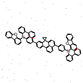 c1ccc(-c2ccccc2N(c2ccc(-c3ccc4c(c3)C3(CC3)c3ccc(-c5ccc(N(c6ccccc6-c6ccccc6)c6cccc7c6oc6ccccc67)cc5)c5cccc-4c35)cc2)c2cccc3c2oc2ccccc23)cc1